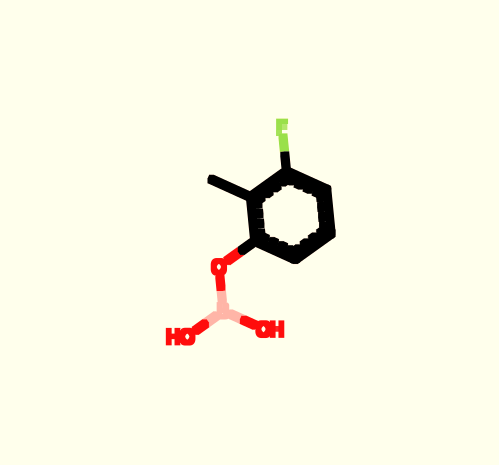 Cc1c(F)cccc1OB(O)O